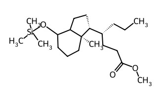 CCC[C@H](CCC(=O)OC)[C@H]1CCC2C(O[Si](C)(C)C)CCC[C@@]21C